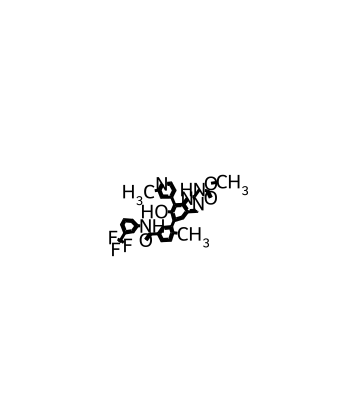 COC(=O)Nc1ncc2cc(-c3cc(C(=O)Nc4cccc(C(F)(F)F)c4)ccc3C)c(O)c(-c3ccnc(C)c3)c2n1